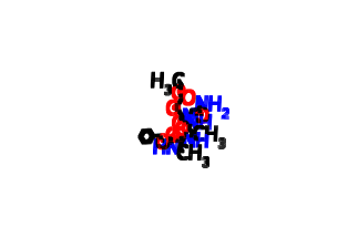 CCOC(=O)C1OC1C(=O)N(CC(N)=O)NC(=O)C(C)NC(=O)C(C)NC(=O)OCc1ccccc1